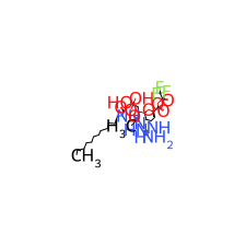 CCCCCCCCCCCCNC(=O)OC(O)(O)CC[C@H]1OC(C(=O)OC(=O)C(F)(F)F)=C[C@H](NC(=N)N)[C@H]1NC(C)=O